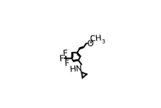 COCC=Cc1cc(CNC2CC2)cc(C(F)(F)F)c1